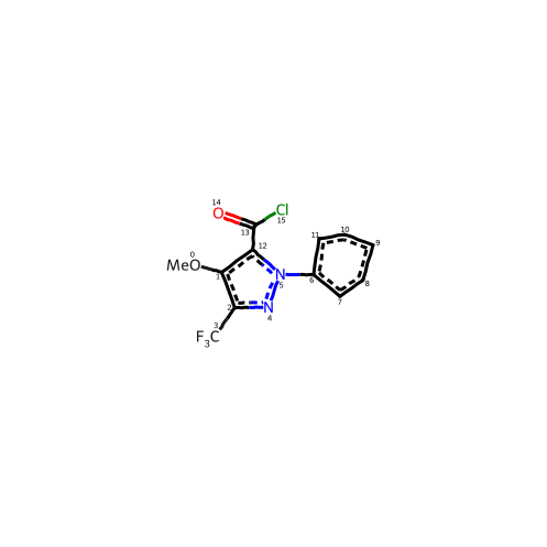 COc1c(C(F)(F)F)nn(-c2ccccc2)c1C(=O)Cl